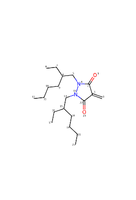 C=C1C(=O)N(CC(CC)CCCC)N(CC(CC)CCCC)C1=O